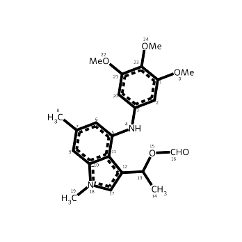 COc1cc(Nc2cc(C)cc3c2c(C(C)OC=O)cn3C)cc(OC)c1OC